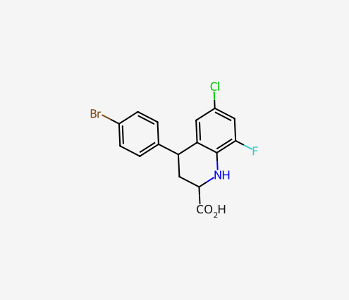 O=C(O)C1CC(c2ccc(Br)cc2)c2cc(Cl)cc(F)c2N1